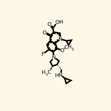 COc1c(N2C[C@H](CNC3CC3)[C@@H](C)C2)c(F)cc2c(=O)c(C(=O)O)cn(C3CC3)c12